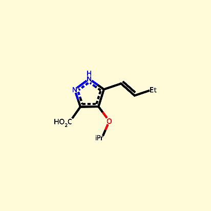 CCC=Cc1[nH]nc(C(=O)O)c1OC(C)C